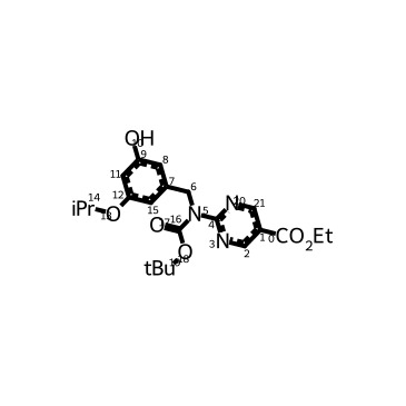 CCOC(=O)c1cnc(N(Cc2cc(O)cc(OC(C)C)c2)C(=O)OC(C)(C)C)nc1